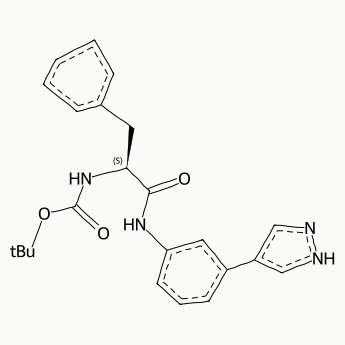 CC(C)(C)OC(=O)N[C@@H](Cc1ccccc1)C(=O)Nc1cccc(-c2cn[nH]c2)c1